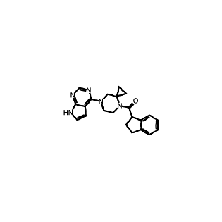 O=C(C1CCc2ccccc21)N1CCN(c2ncnc3[nH]ccc23)CC12CC2